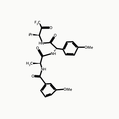 COc1ccc([C@H](NC(=O)[C@H](C)NC(=O)c2cccc(OC)c2)C(=O)N[C@H](C(=O)C(F)(F)F)C(C)C)cc1